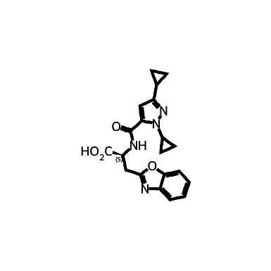 O=C(N[C@@H](Cc1nc2ccccc2o1)C(=O)O)c1cc(C2CC2)nn1C1CC1